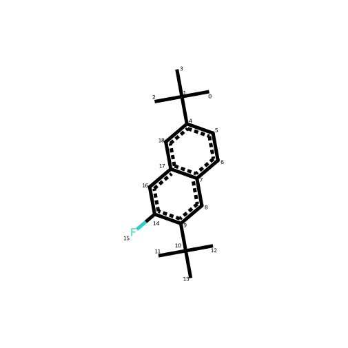 CC(C)(C)c1ccc2cc(C(C)(C)C)c(F)cc2c1